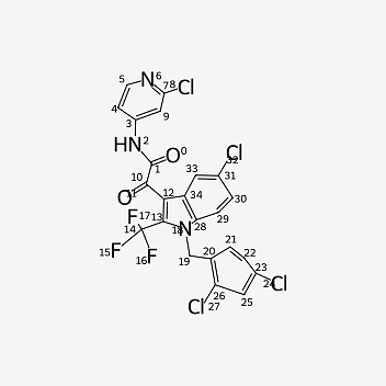 O=C(Nc1ccnc(Cl)c1)C(=O)c1c(C(F)(F)F)n(Cc2ccc(Cl)cc2Cl)c2ccc(Cl)cc12